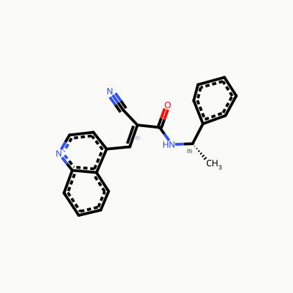 C[C@H](NC(=O)/C(C#N)=C/c1ccnc2ccccc12)c1ccccc1